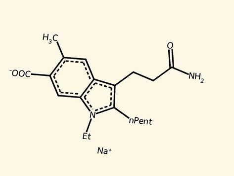 CCCCCc1c(CCC(N)=O)c2cc(C)c(C(=O)[O-])cc2n1CC.[Na+]